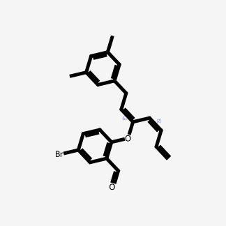 C=C/C=C\C(=C/Cc1cc(C)cc(C)c1)Oc1ccc(Br)cc1C=O